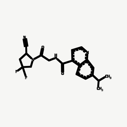 CC(C)c1ccc2c(C(=O)NCC(=O)N3CC(F)(F)CC3C#N)ccnc2c1